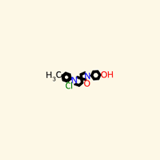 Cc1ccc(N2CCCC3(CCN([C@H]4CC[C@H](O)CC4)C3=O)C2)c(Cl)c1